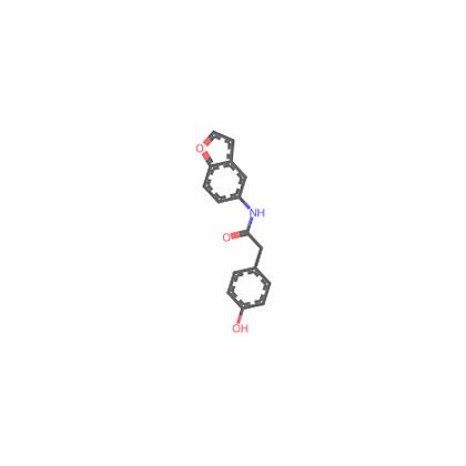 O=C(Cc1ccc(O)cc1)Nc1ccc2occc2c1